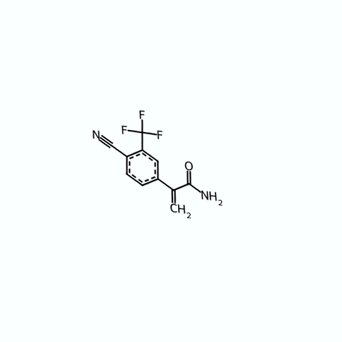 C=C(C(N)=O)c1ccc(C#N)c(C(F)(F)F)c1